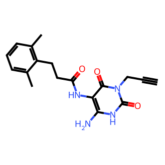 C#CCn1c(=O)[nH]c(N)c(NC(=O)CCc2c(C)cccc2C)c1=O